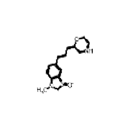 CN1C[S+]([O-])c2cc(CCCC3CNCCO3)ccc21